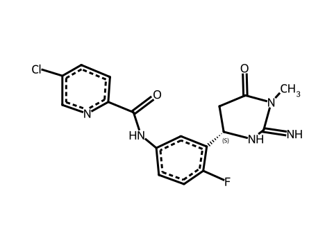 CN1C(=N)N[C@H](c2cc(NC(=O)c3ccc(Cl)cn3)ccc2F)CC1=O